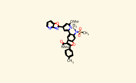 CNC(=O)c1c(-c2ccc(C)cc2)oc2cc(N(C)S(C)(=O)=O)c(-c3cc(-c4nc5ncccc5o4)cc(OC)n3)cc12